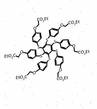 CCOC(=O)COc1ccc(Sc2c(Sc3ccc(OCC(=O)OCC)cc3)c(Sc3ccc(OCC(=O)OCC)cc3)c(Sc3ccc(OCC(=O)OCC)cc3)c(Sc3ccc(OCC(=O)OCC)cc3)c2Sc2ccc(OCC(=O)OCC)cc2)cc1